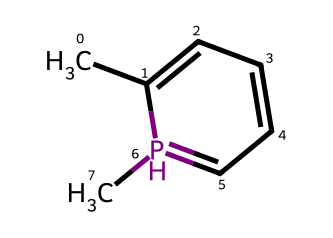 CC1=CC=CC=[PH]1C